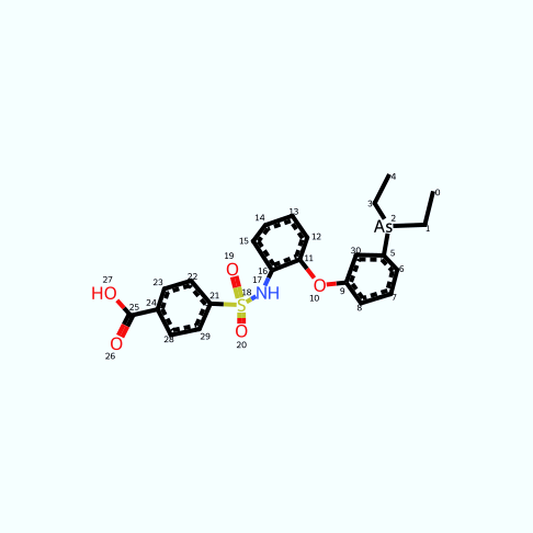 CC[As](CC)c1cccc(Oc2ccccc2NS(=O)(=O)c2ccc(C(=O)O)cc2)c1